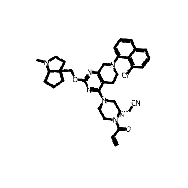 C=CC(=O)N1CCN(c2nc(OCC34CCCC3N(C)CC4)nc3c2CCN(c2cccc4cccc(Cl)c24)C3)C[C@@H]1CC#N